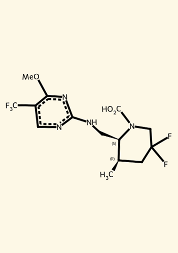 COc1nc(NC[C@@H]2[C@H](C)CC(F)(F)CN2C(=O)O)ncc1C(F)(F)F